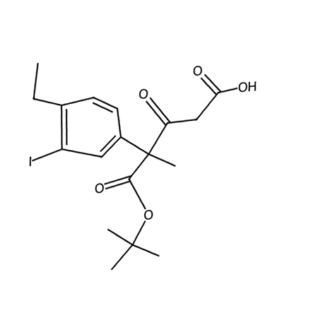 CCc1ccc(C(C)(C(=O)CC(=O)O)C(=O)OC(C)(C)C)cc1I